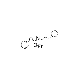 CCOC(=NCCCN1CCCC1)Oc1ccccc1